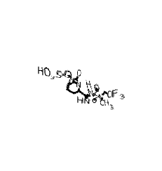 CN(CC(F)(F)F)S(=O)(=O)NC(=N)C1CCC2CN1C(=O)N2OS(=O)(=O)O